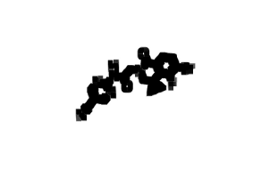 N#Cc1cnc(NC(=O)CN2CC3(CC3)c3c(ccc(Br)c3F)C2=O)nc1